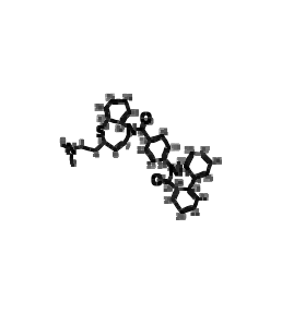 CN(C)CCC1C=CN(C(=O)c2ccc(NC(=O)c3ccccc3-c3ccccc3)cc2)c2ccccc2S1